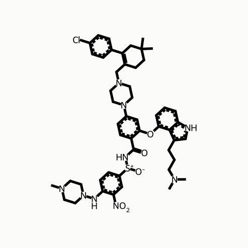 CN(C)CCCc1c[nH]c2cccc(Oc3cc(N4CCN(CC5=C(c6ccc(Cl)cc6)CC(C)(C)CC5)CC4)ccc3C(=O)N[S+]([O-])c3ccc(NN4CCN(C)CC4)c([N+](=O)[O-])c3)c12